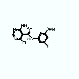 COc1cc(F)cc(NC(=O)c2c(N)ncnc2Cl)c1